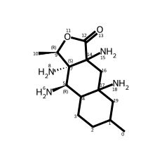 CC1CCC2[C@@H](N)[C@@]3(N)[C@@H](C)OC(=O)C3(N)CC2(N)C1